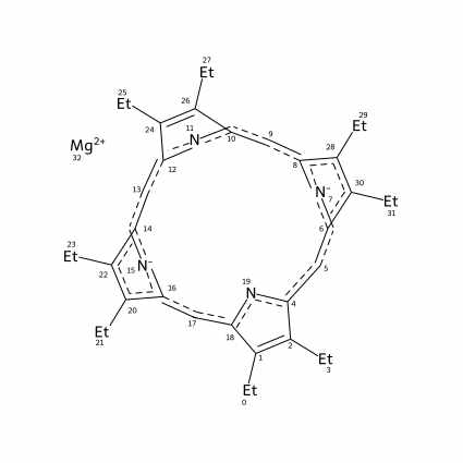 CCC1=C(CC)c2cc3[n-]c(cc4nc(cc5[n-]c(cc1n2)c(CC)c5CC)C(CC)=C4CC)c(CC)c3CC.[Mg+2]